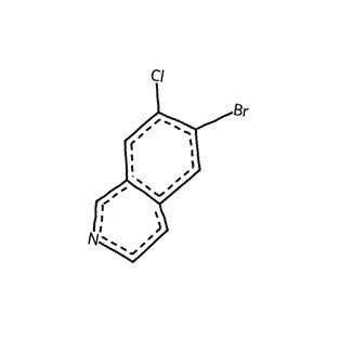 Clc1cc2cnccc2cc1Br